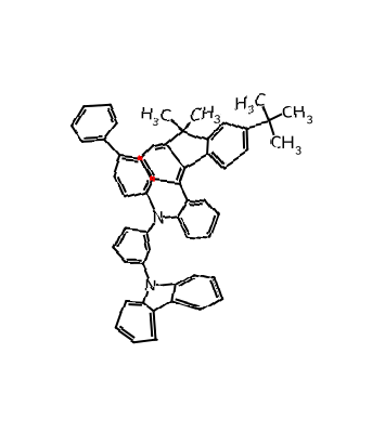 CC(C)(C)c1ccc2c(c1)C(C)(C)c1cccc(-c3ccccc3N(c3ccc(-c4ccccc4)cc3)c3cccc(-n4c5ccccc5c5ccccc54)c3)c1-2